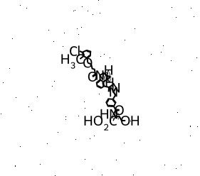 Cc1c(Cl)cccc1OCCCC(=O)N1C[C@@H]2C[C@@H]2c2c(-c3cnn(Cc4cccc(C(=O)N[C@@H](CCO)C(=O)O)c4)c3)cccc21